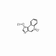 CCOn1cnc2c[n+]([O-])c3ccccc3c21